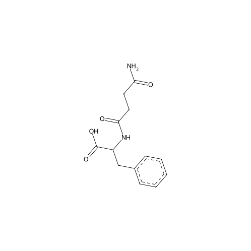 NC(=O)CCC(=O)NC(Cc1ccccc1)C(=O)O